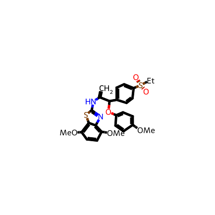 C=C(Nc1nc2c(OC)ccc(OC)c2s1)C(Oc1ccc(OC)cc1)c1ccc(S(=O)(=O)CC)cc1